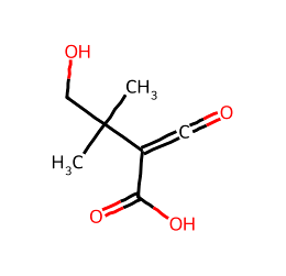 CC(C)(CO)C(=C=O)C(=O)O